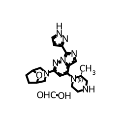 C[C@@H]1CNCCN1c1cc(N2CC3CCC(C2)O3)nn2c(-c3cc[nH]n3)ncc12.O=CO